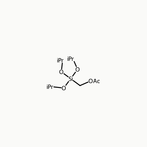 CC(=O)OC[Si](OC(C)C)(OC(C)C)OC(C)C